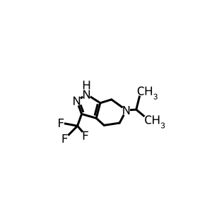 CC(C)N1CCc2c(C(F)(F)F)n[nH]c2C1